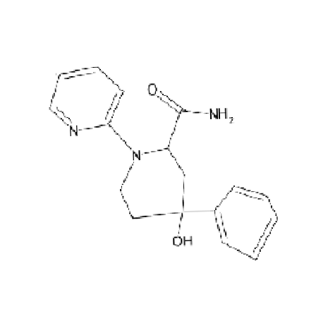 NC(=O)C1CC(O)(c2ccccc2)CCN1c1cc[c]cn1